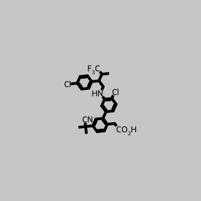 CC(C(CNc1cc(-c2cc(C(C)(C)C#N)ccc2CC(=O)O)ccc1Cl)c1ccc(Cl)cc1)C(F)(F)F